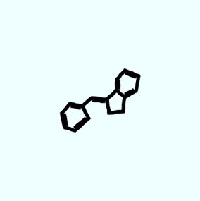 C(=C1CCc2ccccc21)c1ccccc1